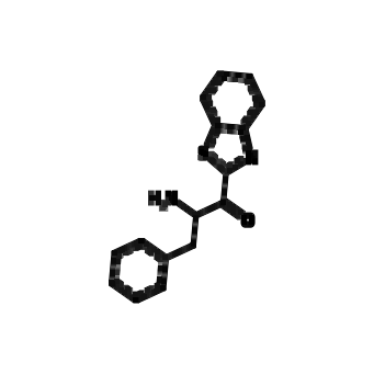 NC(Cc1ccccc1)C(=O)c1nc2ccccc2s1